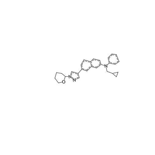 c1ccc(N(CC2CC2)c2ccc3ccc(-c4cnn(C5CCCCO5)c4)cc3c2)cc1